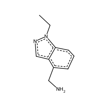 CCn1ncc2c(CN)cccc21